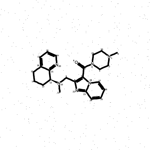 CN1CCN(C(=O)c2c(CN(C)[C@H]3CCCc4cccnc43)nc3ccccn23)CC1